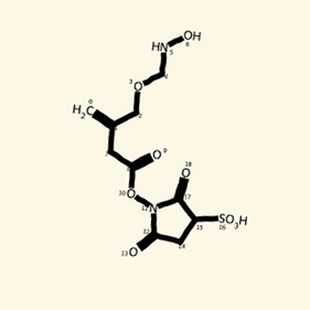 C=C(COCNO)CC(=O)ON1C(=O)CC(S(=O)(=O)O)C1=O